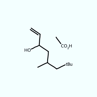 C=CC(O)CC(C)CC(C)(C)C.CC(=O)O